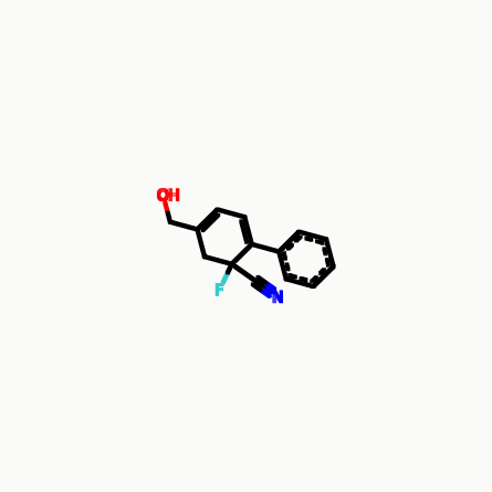 N#CC1(F)CC(CO)=CC=C1c1ccccc1